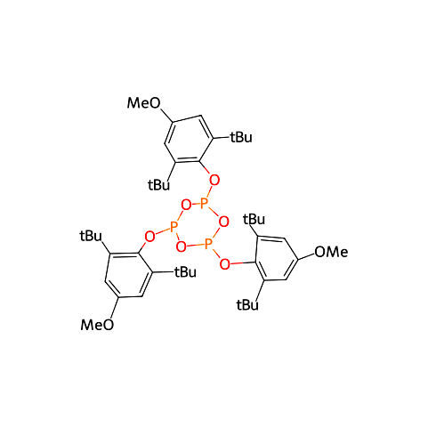 COc1cc(C(C)(C)C)c(OP2OP(Oc3c(C(C)(C)C)cc(OC)cc3C(C)(C)C)OP(Oc3c(C(C)(C)C)cc(OC)cc3C(C)(C)C)O2)c(C(C)(C)C)c1